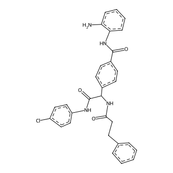 Nc1ccccc1NC(=O)c1ccc(C(NC(=O)CCc2ccccc2)C(=O)Nc2ccc(Cl)cc2)cc1